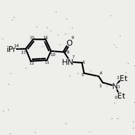 CCN(CC)CCCCNC(=O)c1ccc(C(C)C)cc1